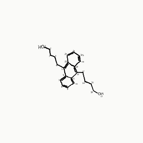 OCCCCc1c2ccccc2c(CCCCO)c2ccccc12